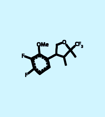 COc1c(C2COC(C)(C(F)(F)F)C2C)ccc(F)c1F